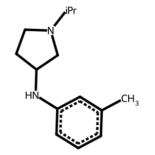 Cc1cccc(NC2CCN(C(C)C)C2)c1